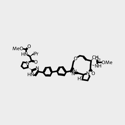 COC(=O)N[C@H](C(=O)N1CCC[C@H]1c1nc(-c2ccc(-c3ccc(-c4nc5[nH]c4COC/C=C/[C@H](C)[C@H](NC(=O)OC)C(=O)N4CCC[C@@H]54)cc3)cc2)c[nH]1)C(C)C